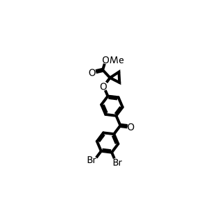 COC(=O)C1(Oc2ccc(C(=O)c3ccc(Br)c(Br)c3)cc2)CC1